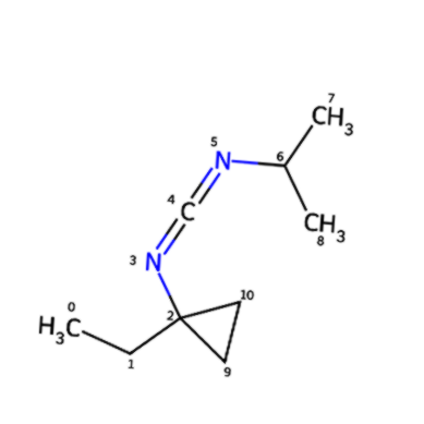 CCC1(N=C=NC(C)C)CC1